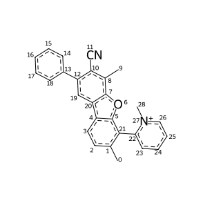 Cc1ccc2c(oc3c(C)c(C#N)c(-c4ccccc4)cc32)c1-c1cccc[n+]1C